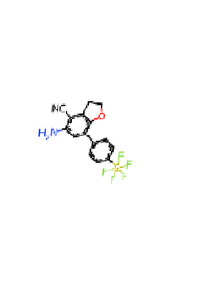 N#Cc1c(N)cc(-c2ccc(S(F)(F)(F)(F)F)cc2)c2c1CCO2